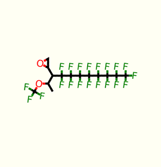 CC(OC(F)(F)F)C(C1CO1)C(F)(F)C(F)(F)C(F)(F)C(F)(F)C(F)(F)C(F)(F)C(F)(F)C(F)(F)F